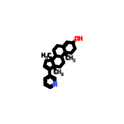 CC12CCC(O)C=C1CCC1C2CCC2(C)C(c3cccnc3)=CCC12C